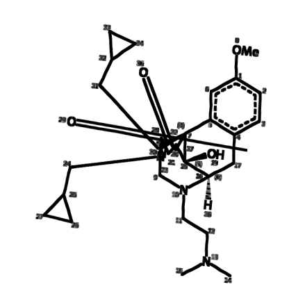 COc1ccc2c(c1)[C@]13CCN(CCN(C)C)[C@H](C2)[C@]1(O)CCCN(CC1CC1)C(=O)N(CC1CC1)C(=O)C3